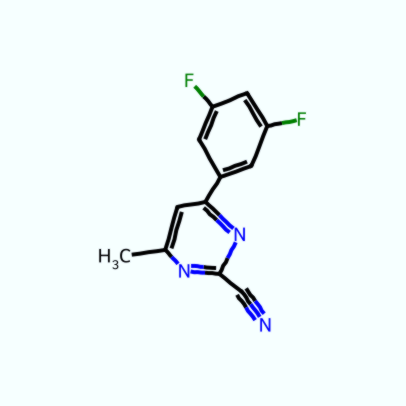 Cc1cc(-c2cc(F)cc(F)c2)nc(C#N)n1